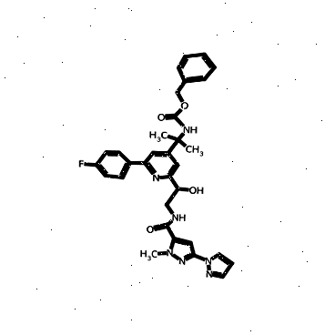 Cn1nc(-n2cccn2)cc1C(=O)NCC(O)c1cc(C(C)(C)NC(=O)OCc2ccccc2)cc(-c2ccc(F)cc2)n1